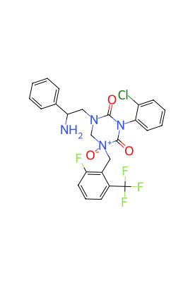 NC(CN1C[N+]([O-])(Cc2c(F)cccc2C(F)(F)F)C(=O)N(c2ccccc2Cl)C1=O)c1ccccc1